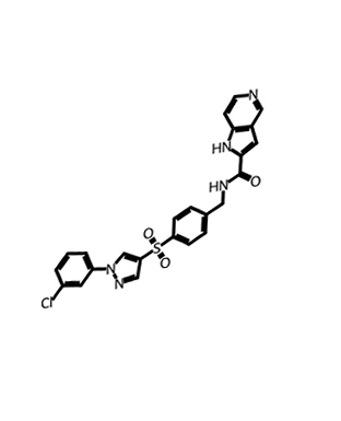 O=C(NCc1ccc(S(=O)(=O)c2cnn(-c3cccc(Cl)c3)c2)cc1)c1cc2cnccc2[nH]1